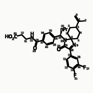 C=C(C)C1CCC2(CC1)N=C(c1ccc(F)c(F)c1)C(=O)N2[C@H](CCC)c1ccc(C(=O)NCCC(=O)O)cc1